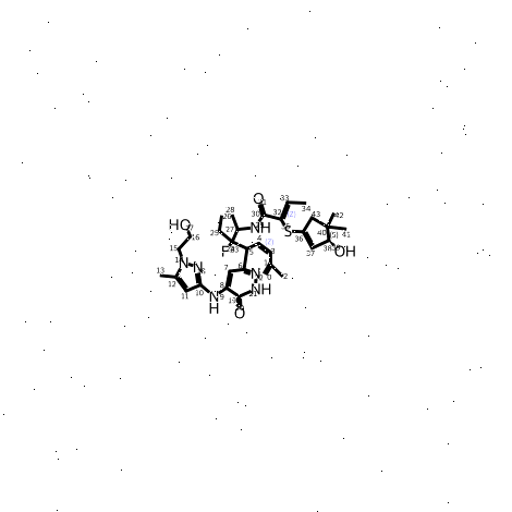 C=C(C)/C=C\C(c1cc(Nc2cc(C)n(CCO)n2)c(=O)[nH]n1)C(F)(CC)C(C)NC(=O)/C(=C/C)SC1=C[C@H](O)C(C)(C)C1